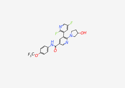 O=C(Nc1ccc(OC(F)(F)F)cc1)c1cnc(N2CCC(O)C2)c(-c2cc(F)cnc2F)c1